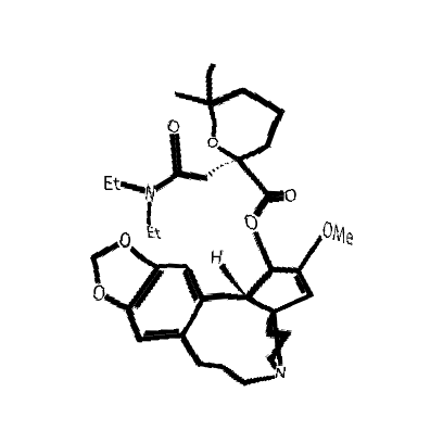 CCN(CC)C(=O)C[C@@]1(C(=O)OC2C(OC)=CC34CCCN3CCc3cc5c(cc3[C@H]24)OCO5)CCCC(C)(C)O1